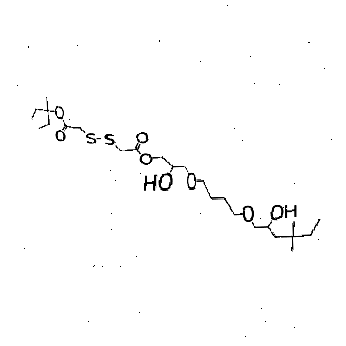 CCC(C)(C)CC(O)COCCCCOCC(O)COC(=O)CSSCC(=O)OC(C)(CC)CC